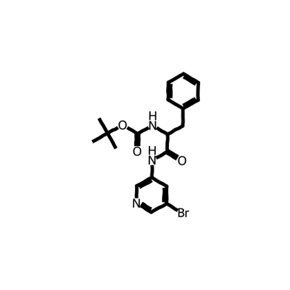 CC(C)(C)OC(=O)NC(Cc1ccccc1)C(=O)Nc1cncc(Br)c1